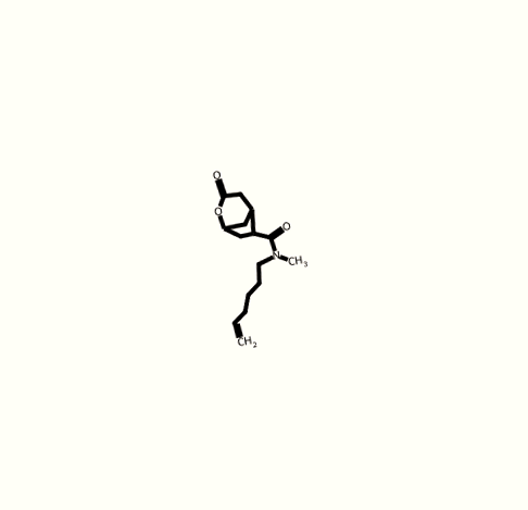 C=CCCCCN(C)C(=O)C1CC2CC1CC(=O)O2